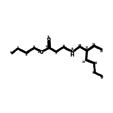 CCCCOC(=O)CCNCC(CC)CCCC